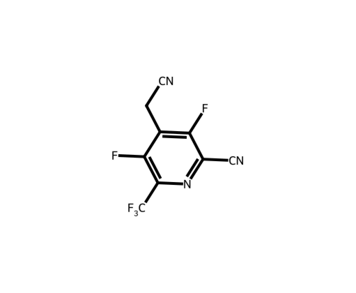 N#CCc1c(F)c(C#N)nc(C(F)(F)F)c1F